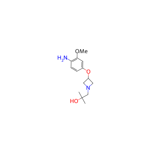 COc1cc(OC2CN(CC(C)(C)O)C2)ccc1N